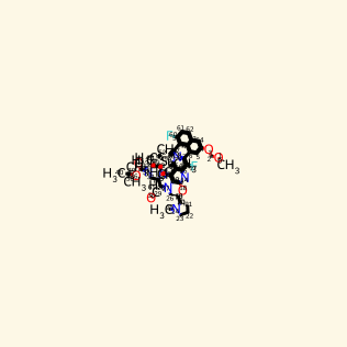 COCOc1cc(-c2ncc3c4c5c(nc3c2F)O[C@@H]([C@@H]2CCCN2C)CN5C(=C=O)[C@H]2CN(C(=O)OC(C)(C)C)[C@H](C)CN42)c2c(C#C[Si](C(C)C)(C(C)C)C(C)C)c(F)ccc2c1